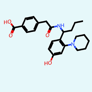 CCCC(NC(=O)Cc1ccc(C(=O)O)cc1)c1ccc(O)cc1N1CCCCC1